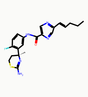 CCC/C=C/c1cnc(C(=O)Nc2ccc(F)c([C@]3(C)CCSC(N)=N3)c2)cn1